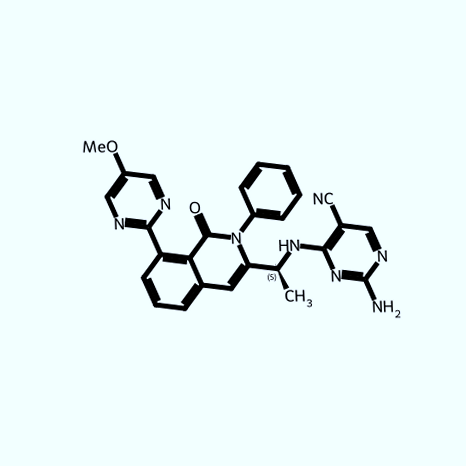 COc1cnc(-c2cccc3cc([C@H](C)Nc4nc(N)ncc4C#N)n(-c4ccccc4)c(=O)c23)nc1